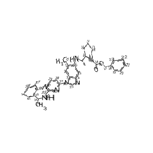 Cc1cc2c(cc1NCC1CCCN1C(=O)OCc1ccccc1)ncn2-c1ccnc(NC(C)c2ccccc2)n1